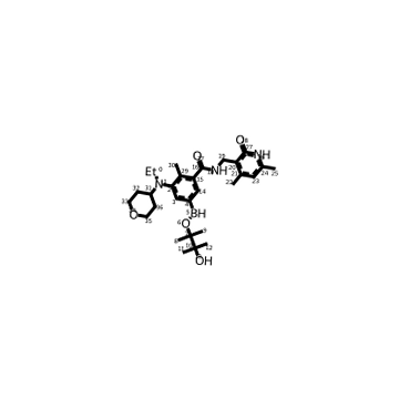 CCN(c1cc(BOC(C)(C)C(C)(C)O)cc(C(=O)NCc2c(C)cc(C)[nH]c2=O)c1C)C1CCOCC1